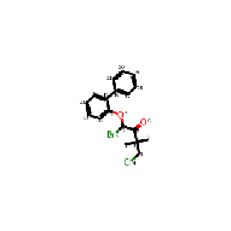 CC(C)(CCl)C(=O)C(Br)Oc1ccccc1-c1ccccc1